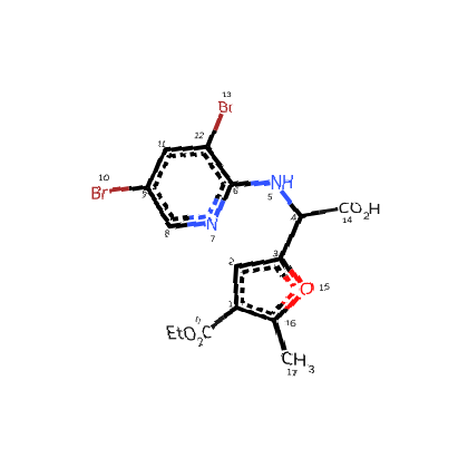 CCOC(=O)c1cc(C(Nc2ncc(Br)cc2Br)C(=O)O)oc1C